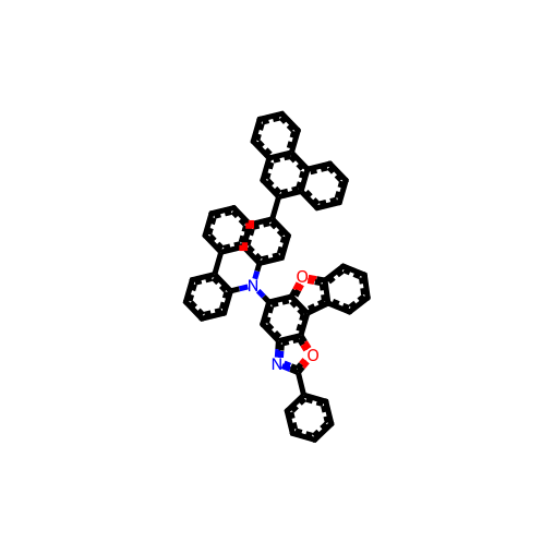 c1ccc(-c2nc3cc(N(c4ccc(-c5cc6ccccc6c6ccccc56)cc4)c4ccccc4-c4ccccc4)c4oc5ccccc5c4c3o2)cc1